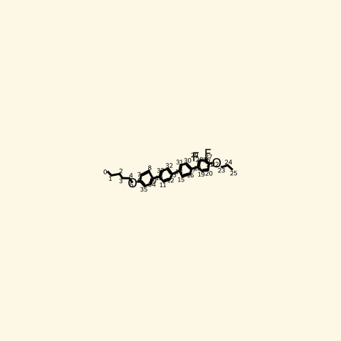 CCCCCOc1ccc(-c2ccc(-c3ccc(-c4ccc(OCCC)c(F)c4F)cc3)cc2)cc1